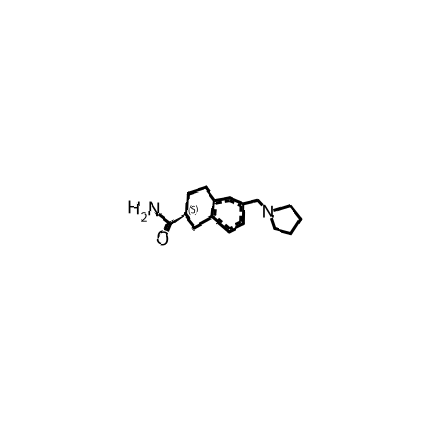 NC(=O)[C@H]1CCc2cc(CN3CCCC3)ccc2C1